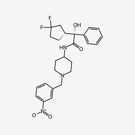 O=C(NC1CCN(Cc2cccc([N+](=O)[O-])c2)CC1)[C@](O)(c1ccccc1)[C@@H]1CCC(F)(F)C1